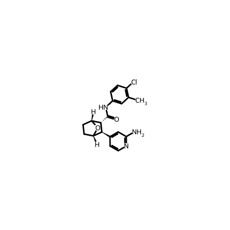 Cc1cc(NC(=O)[C@@H]2[C@@H](c3ccnc(N)c3)[C@@H]3CC[C@H]2O3)ccc1Cl